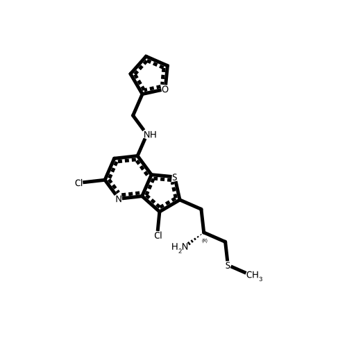 CSC[C@H](N)Cc1sc2c(NCc3ccco3)cc(Cl)nc2c1Cl